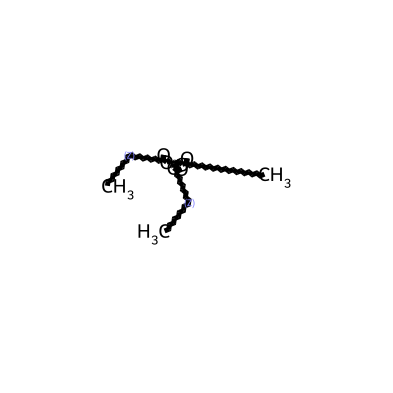 CCCCCCCCC/C=C\CCCCCCCC(=O)OC[C@H](COC(=O)CCCCCCCCCCCCCCCCCCCC)OC(=O)CCCCCCC/C=C\CCCCCCCCC